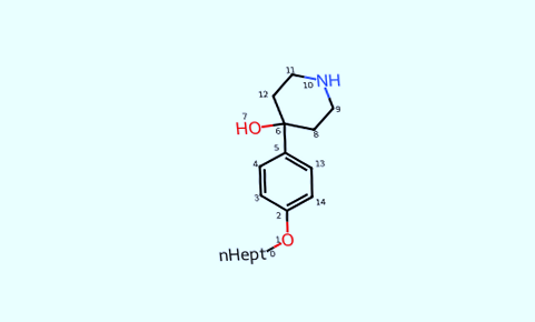 CCCCCCCOc1ccc(C2(O)CCNCC2)cc1